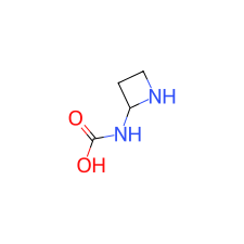 O=C(O)NC1CCN1